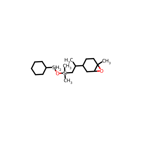 CC(C[Si](C)(C)O[SiH2]C1CCCCC1)C1CCC2(C)OC2C1